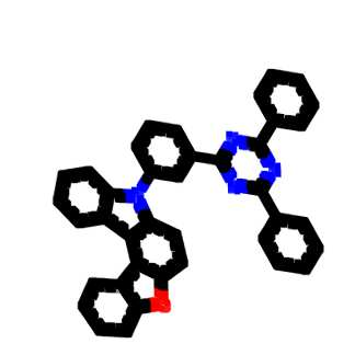 c1ccc(-c2nc(-c3ccccc3)nc(-c3cccc(-n4c5ccccc5c5c6c(ccc54)oc4ccccc46)c3)n2)cc1